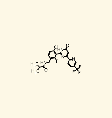 CC(C)C(=O)NCc1ccc(Cl)c(-c2nc(-c3ccc(C(F)(F)F)cn3)cc(=O)[nH]2)c1F